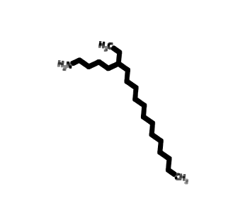 CCCCCCCCCCCCCC(CC)CCCCN